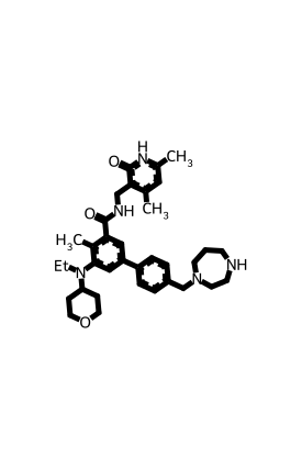 CCN(c1cc(-c2ccc(CN3CCCNCC3)cc2)cc(C(=O)NCc2c(C)cc(C)[nH]c2=O)c1C)C1CCOCC1